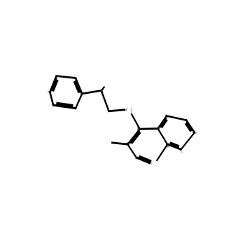 OC(CNc1c(Br)cnc2ccccc12)c1ccccc1